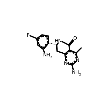 Cc1nc(N)nc2c1C(=O)N[C@@H](c1ccc(F)cc1N)C2